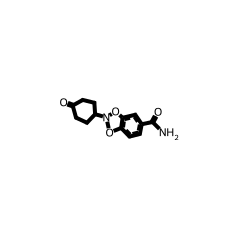 NC(=O)c1ccc2c(c1)ON(C1CCC(=O)CC1)O2